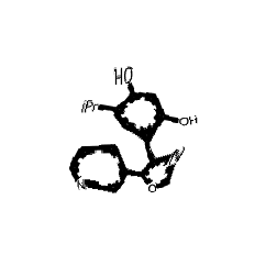 CC(C)c1cc(-c2ncoc2-c2cccnc2)c(O)cc1O